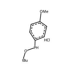 COc1ccc(POC(C)(C)C)cc1.Cl